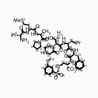 CSCC[C@H](NC(=O)[C@@H](N)C(C)C)C(=O)N[C@@H](C)C(=O)N1CCC[C@H]1C(=O)N[C@@H](CSc1cccc(S(=O)(=O)F)c1)C(=O)N[C@H](C(=O)N[C@@H](CC(C)C)C(=O)N[C@@H](Cc1ccccc1)C(=O)N[C@@H](CC(C)C)C(=O)O)[C@@H](C)O